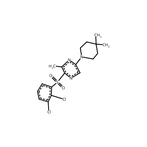 Cc1nc(N2CCC(C)(C)CC2)cnc1S(=O)(=O)c1cccc(Cl)c1Cl